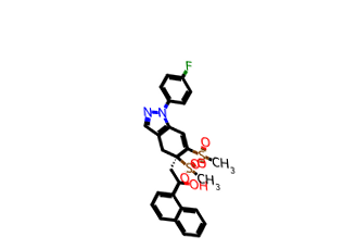 CS(=O)(=O)C1=Cc2c(cnn2-c2ccc(F)cc2)C[C@]1(CC(O)c1cccc2ccccc12)S(C)(=O)=O